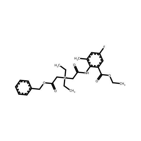 CCOC(=O)c1cc(F)cc(C)c1NC(=O)C[N+](CC)(CC)CC(=O)OCc1ccccc1